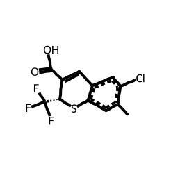 Cc1cc2c(cc1Cl)C=C(C(=O)O)[C@@H](C(F)(F)F)S2